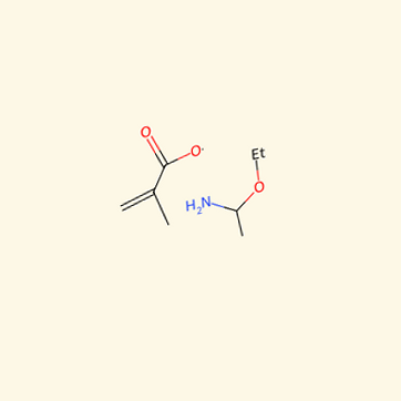 C=C(C)C([O])=O.CCOC(C)N